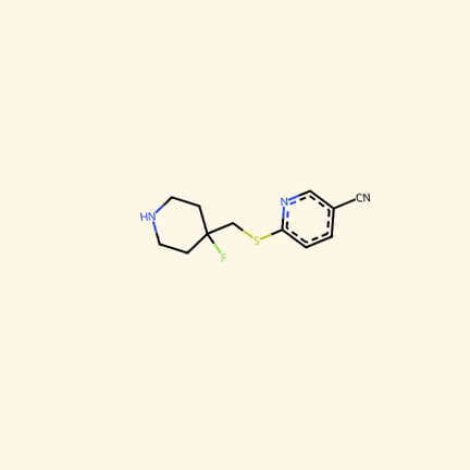 N#Cc1ccc(SCC2(F)CCNCC2)nc1